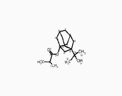 CC(C)C(=O)OC12CC3CC(C1)CC(C(C)(C)O)(C3)C2